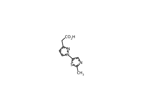 Cc1ncc(-n2ccc(CC(=O)O)n2)s1